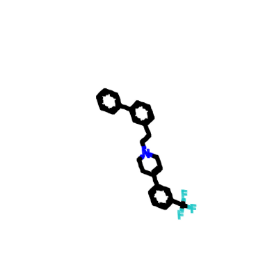 FC(F)(F)c1cccc(C2=CCN(CCc3cccc(-c4ccccc4)c3)CC2)c1